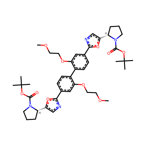 COCCOc1cc(-c2ncc([C@@H]3CCCN3C(=O)OC(C)(C)C)o2)ccc1-c1ccc(-c2ncc([C@@H]3CCCN3C(=O)OC(C)(C)C)o2)cc1OCCOC